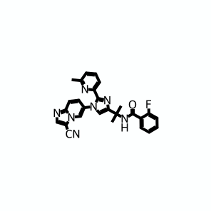 Cc1cccc(-c2nc(C(C)(C)NC(=O)c3ccccc3F)cn2-c2ccc3ncc(C#N)n3c2)n1